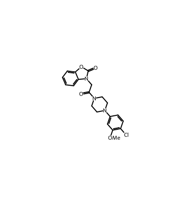 COc1cc(N2CCN(C(=O)Cn3c(=O)oc4ccccc43)CC2)ccc1Cl